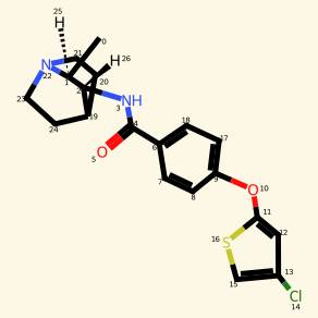 C[C@H]1[C@H](NC(=O)c2ccc(Oc3cc(Cl)cs3)cc2)C2CCN1CC2